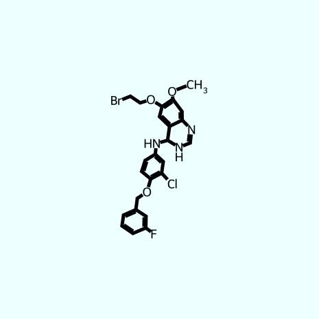 COc1cc2c(cc1OCCBr)C(Nc1ccc(OCc3cccc(F)c3)c(Cl)c1)NC=N2